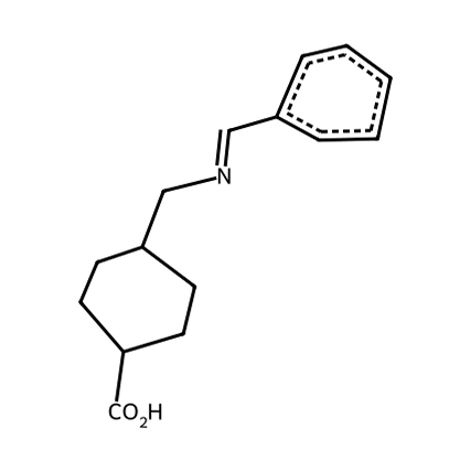 O=C(O)C1CCC(C/N=C/c2ccccc2)CC1